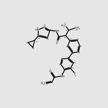 C=CC(=O)Nc1ccc(-c2cccc(C(C(=O)Nc3cc(C4CC4)[nH]n3)C(C)C)c2)cc1F